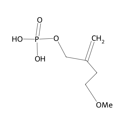 C=C(CCOC)COP(=O)(O)O